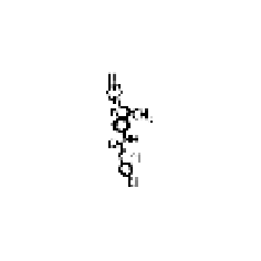 Cc1cc(N2CCNCC2)nc2ccc(NC(=O)/C=C/c3ccc(Cl)cc3Cl)cc12